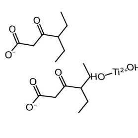 CCC(CC)C(=O)CC(=O)[O-].CCC(CC)C(=O)CC(=O)[O-].[OH][Ti+2][OH]